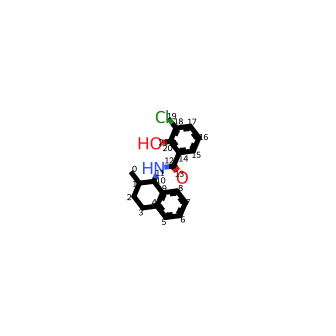 CC1CCc2ccccc2C1NC(=O)c1cccc(Cl)c1O